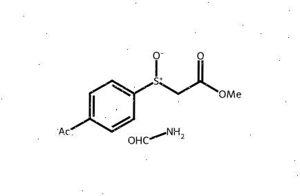 COC(=O)C[S+]([O-])c1ccc(C(C)=O)cc1.NC=O